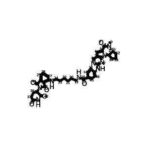 CN(C)C(=O)c1cc2cnc(Nc3ccc(C(=O)NCCCCCCNc4cccc5c4C(=O)N(C4CCC(=O)NC4=O)C5=O)cc3)nc2n1C1CCCC1